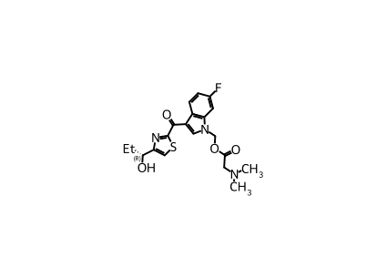 CC[C@@H](O)c1csc(C(=O)c2cn(COC(=O)CN(C)C)c3cc(F)ccc23)n1